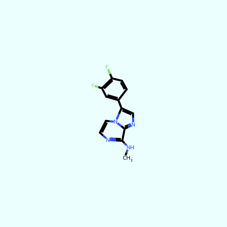 CNc1nccn2c(-c3ccc(F)c(F)c3)cnc12